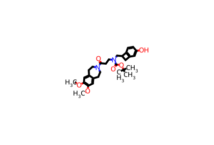 COc1cc2c(cc1OC)CCN(C(=O)CCN(CC1Cc3cc(O)ccc31)C(=O)OC(C)(C)C)CC2